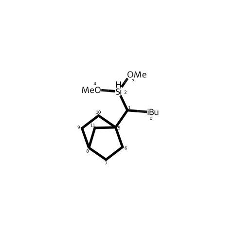 CCC(C)C([SiH](OC)OC)C12CCC(CC1)C2